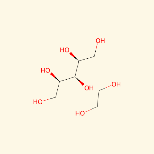 OCCO.OC[C@@H](O)[C@H](O)[C@@H](O)CO